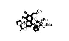 C[C@H](Oc1cc(N(C(=O)OC(C)(C)C)[C@H]2C3CC2N(C(=O)OC(C)(C)C)C3)c2cc(CCC#N)c(Br)c(F)c2n1)[C@@H]1CCCN1C